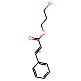 O=C(/C=C/c1ccccc1)OCCCBr